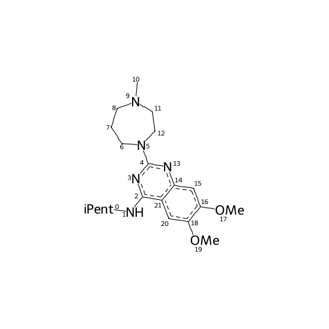 CCCC(C)Nc1nc(N2CCCN(C)CC2)nc2cc(OC)c(OC)cc12